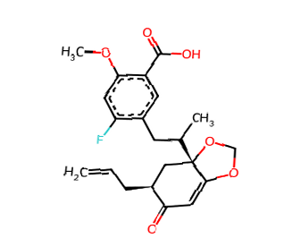 C=CC[C@H]1C[C@]2(C(C)Cc3cc(C(=O)O)c(OC)cc3F)OCOC2=CC1=O